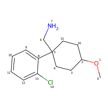 COC1CCC(CN)(c2ccccc2Cl)CC1